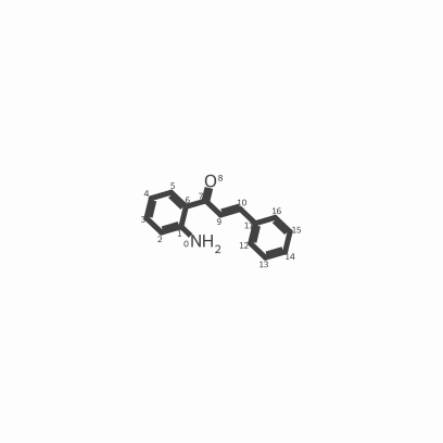 Nc1ccccc1C(=O)C=Cc1ccccc1